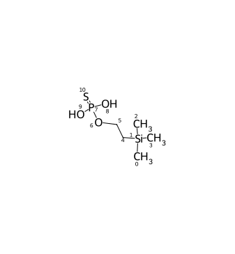 C[Si](C)(C)CCOP(O)(O)=S